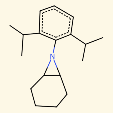 CC(C)c1cccc(C(C)C)c1N1C2CCCCC21